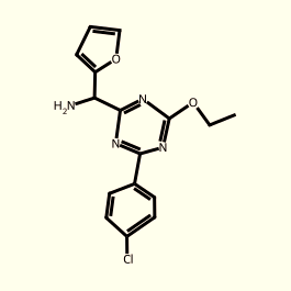 CCOc1nc(-c2ccc(Cl)cc2)nc(C(N)c2ccco2)n1